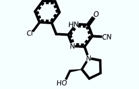 N#Cc1c(N2CCC[C@H]2CO)nc(Cc2ccccc2Cl)[nH]c1=O